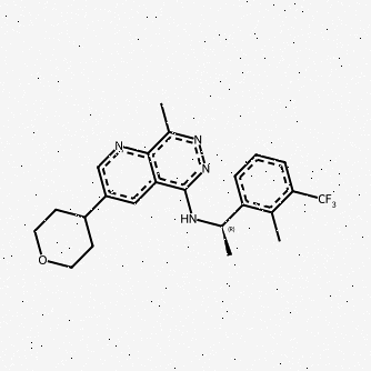 Cc1c([C@@H](C)Nc2nnc(C)c3ncc(C4CCOCC4)cc23)cccc1C(F)(F)F